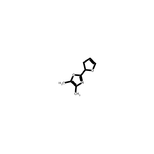 Cc1nc(C2CC=CO2)oc1C